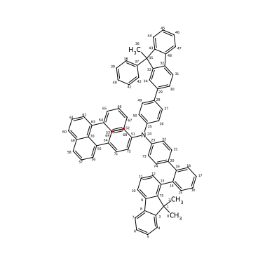 CC1(C)c2ccccc2-c2cccc(-c3ccccc3-c3ccc(N(c4ccc(-c5ccc6c(c5)C(C)(c5ccccc5)c5ccccc5-6)cc4)c4ccc(-c5cccc6cccc(-c7ccccc7)c56)cc4)cc3)c21